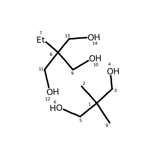 CC(C)(CO)CO.CCC(CO)(CO)CO